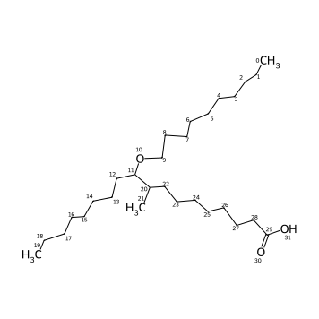 CCCCCCCCCCOC(CCCCCCCC)C(C)CCCCCCCC(=O)O